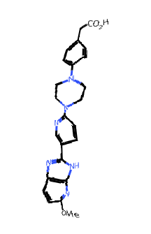 COc1ccc2nc(-c3ccc(N4CCN(c5ccc(CC(=O)O)cc5)CC4)nc3)[nH]c2n1